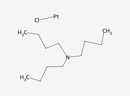 CCCCN(CCCC)CCCC.[Cl][Pt]